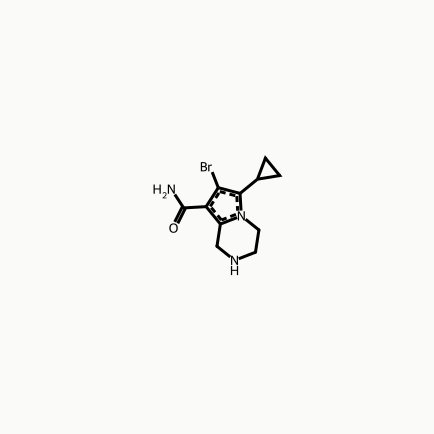 NC(=O)c1c(Br)c(C2CC2)n2c1CNCC2